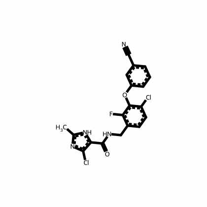 Cc1nc(Cl)c(C(=O)NCc2ccc(Cl)c(Oc3cccc(C#N)c3)c2F)[nH]1